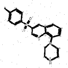 Cc1ccc(S(=O)(=O)c2cnc3c(N4CCNCC4)cccc3c2)cc1